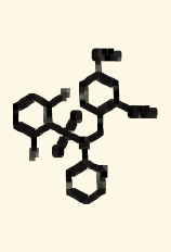 COc1ccc(CN(c2ccccn2)S(=O)(=O)c2c(F)cccc2F)c(OC)c1